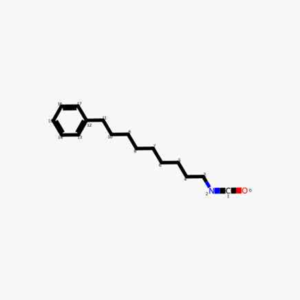 O=C=N[CH]CCCCCCCCc1ccccc1